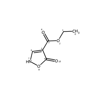 CCOC(=O)c1c[nH]oc1=O